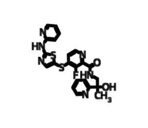 CC(O)(CNC(=O)c1nccc(Sc2cnc(Nc3ccccn3)s2)c1F)c1ccccn1